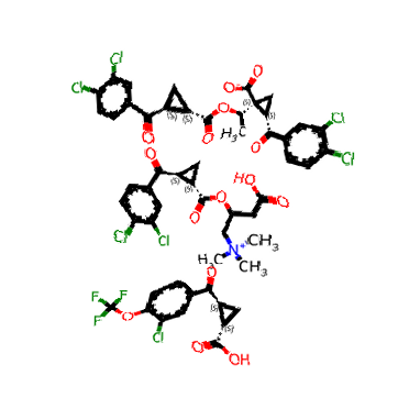 CC(OC(=O)[C@H]1C[C@@H]1C(=O)c1ccc(Cl)c(Cl)c1)[C@]1(C(=O)[O-])C[C@@H]1C(=O)c1ccc(Cl)c(Cl)c1.C[N+](C)(C)CC(CC(=O)O)OC(=O)[C@H]1C[C@@H]1C(=O)c1ccc(Cl)c(Cl)c1.O=C(O)[C@H]1C[C@@H]1C(=O)c1ccc(OC(F)(F)F)c(Cl)c1